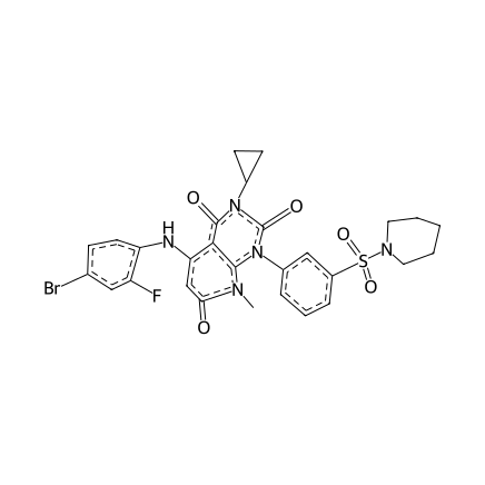 Cn1c(=O)cc(Nc2ccc(Br)cc2F)c2c(=O)n(C3CC3)c(=O)n(-c3cccc(S(=O)(=O)N4CCCCC4)c3)c21